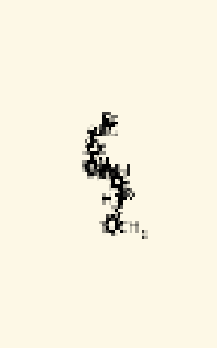 CC1CCCCN1CCCNC(=O)c1ccc(Nc2nc3c(C4=CCN(C(=O)CCC(F)(F)F)CC4)cccn3n2)cc1